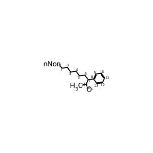 CCCCCCCCCCCCCCCC(c1ccccc1)C(C)[O]